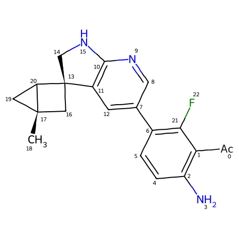 CC(=O)c1c(N)ccc(-c2cnc3c(c2)[C@]2(CN3)C[C@]3(C)CC32)c1F